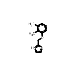 Cc1cccc(OCc2ncc[nH]2)c1C